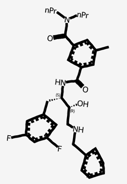 CCCN(CCC)C(=O)c1cc(C)cc(C(=O)N[C@@H](Cc2cc(F)cc(F)c2)[C@H](O)CNCc2c[c]ccc2)c1